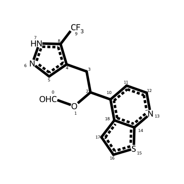 O=COC(Cc1cn[nH]c1C(F)(F)F)c1ccnc2sccc12